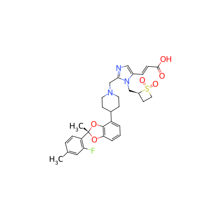 Cc1ccc([C@@]2(C)Oc3cccc(C4CCN(Cc5ncc(/C=C/C(=O)O)n5C[C@@H]5CCS5(=O)=O)CC4)c3O2)c(F)c1